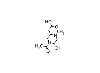 CC(=O)N1C[C@@H](CC(=O)O)N(C)C[C@@H]1C